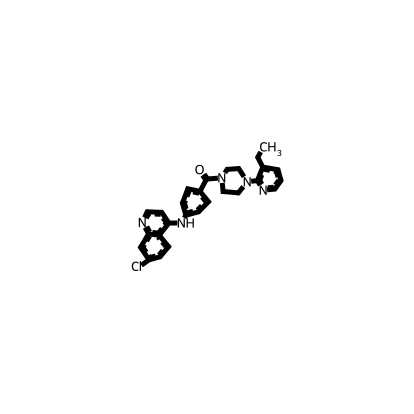 CCc1cccnc1N1CCN(C(=O)c2ccc(Nc3ccnc4cc(Cl)ccc34)cc2)CC1